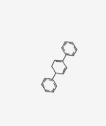 C1=CC(c2ccccc2)CC=C1c1ccccc1